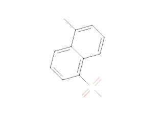 CS(=O)(=O)c1cccc2c(I)cccc12